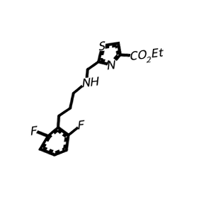 CCOC(=O)c1csc(CNCCCc2c(F)cccc2F)n1